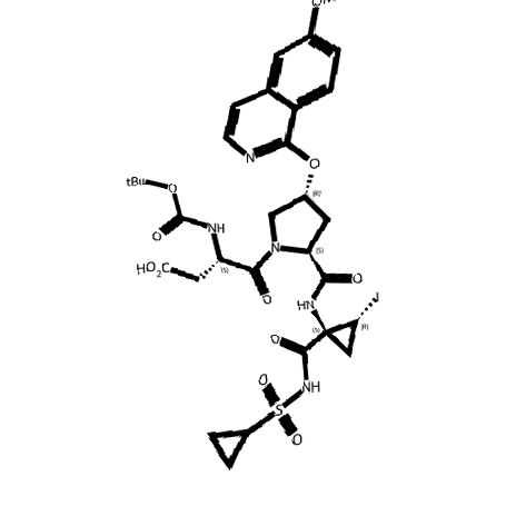 COc1ccc2c(O[C@@H]3C[C@@H](C(=O)N[C@]4(C(=O)NS(=O)(=O)C5CC5)C[C@H]4I)N(C(=O)[C@H](CC(=O)O)NC(=O)OC(C)(C)C)C3)nccc2c1